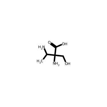 CC(N)C(N)(CO)C(=O)O